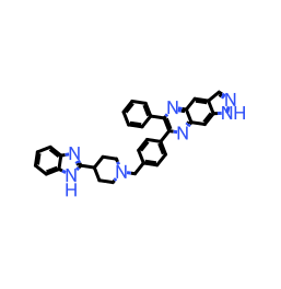 c1ccc(-c2nc3cc4cn[nH]c4cc3nc2-c2ccc(CN3CCC(c4nc5ccccc5[nH]4)CC3)cc2)cc1